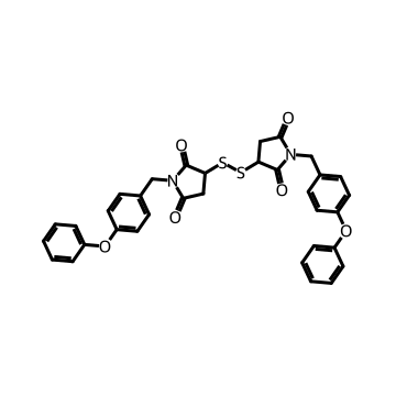 O=C1CC(SSC2CC(=O)N(Cc3ccc(Oc4ccccc4)cc3)C2=O)C(=O)N1Cc1ccc(Oc2ccccc2)cc1